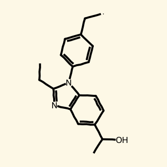 [CH2]Cc1ccc(-n2c(CC)nc3cc(C(C)O)ccc32)cc1